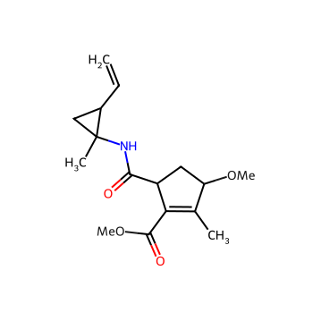 C=CC1CC1(C)NC(=O)C1CC(OC)C(C)=C1C(=O)OC